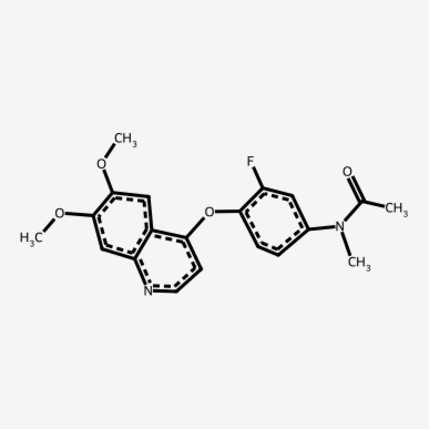 COc1cc2nccc(Oc3ccc(N(C)C(C)=O)cc3F)c2cc1OC